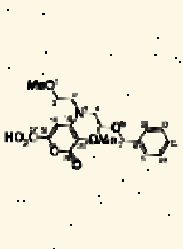 COCCN(CCOCc1ccccc1)c1cc(C(=O)O)oc(=O)c1OC